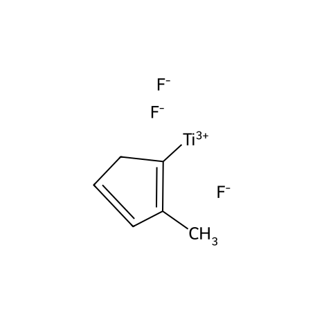 CC1=[C]([Ti+3])CC=C1.[F-].[F-].[F-]